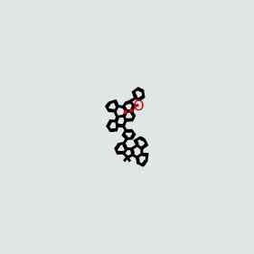 CC1(C)c2cccc(-c3cccc(-c4c5ccccc5c(-c5ccccc5-c5ccc6oc7ccccc7c6c5)c5ccccc45)c3)c2-c2c1c1ccccc1c1ccccc21